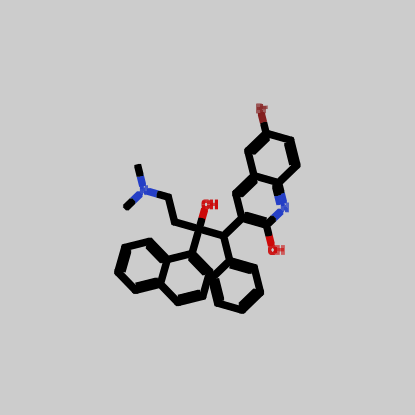 CN(C)CCC(O)(c1cccc2ccccc12)C(c1ccccc1)c1cc2cc(Br)ccc2nc1O